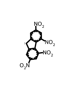 O=[N+]([O-])c1cc2c(c([N+](=O)[O-])c1)-c1c(cc([N+](=O)[O-])cc1[N+](=O)[O-])[C]2